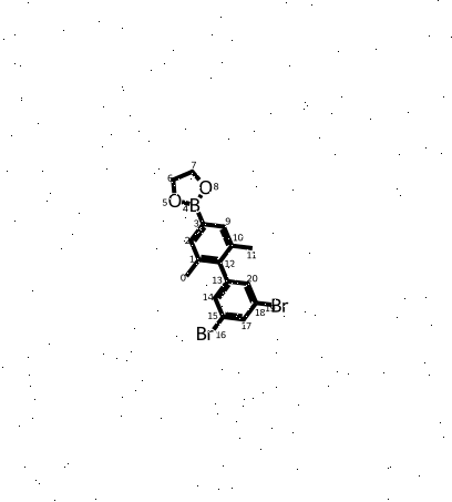 Cc1cc(B2OCCO2)cc(C)c1-c1cc(Br)cc(Br)c1